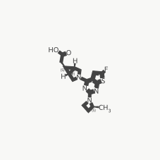 C[C@H]1CCN1c1nc(N2C[C@@H]3[C@@H](CC(=O)O)[C@@H]3C2)c2cc(F)sc2n1